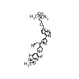 C[Si](C)(C)CCOCn1ccc2c(-c3cnn([C@@H](CC#N)[C@H]4CCN(c5cc(F)c(S(C)(=O)=O)nc5F)C4)c3)ncnc21